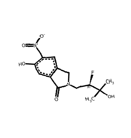 CC(C)(O)[C@H](F)CN1Cc2cc([N+](=O)[O-])c(O)cc2C1=O